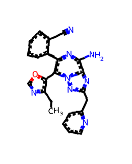 CCc1ncoc1-c1c(-c2ccccc2C#N)nc(N)c2nc(Cc3ccccn3)nn12